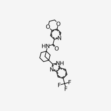 O=C(NC12CCCC(c3nc4cc(C(F)(F)F)ccc4[nH]3)(C1)C2)c1cc2c(cn1)OCCO2